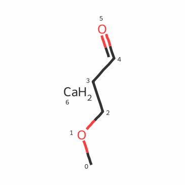 COCCC=O.[CaH2]